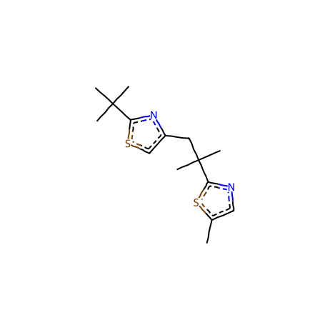 Cc1cnc(C(C)(C)Cc2csc(C(C)(C)C)n2)s1